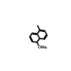 COC1C=CC=C2C(C)=CC=CC21